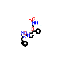 CNC[C@H](CC12CC3CC(CC1C3)C2)NC(=O)N1CCC[C@@H]([C@@H](OCCNC(=O)OC)c2cccc(F)c2)C1